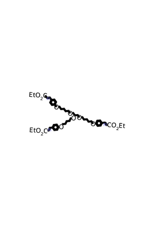 CCOC(=O)/C=C/c1ccc(OCCCCCOCC(COCCCCCOc2ccc(/C=C/C(=O)OCC)cc2)OCCCCCOc2ccc(/C=C/C(=O)OCC)cc2)cc1